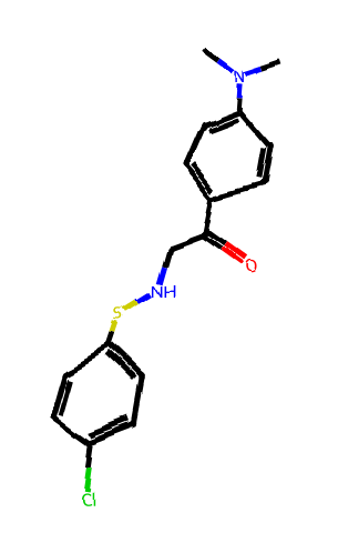 CN(C)c1ccc(C(=O)CNSc2ccc(Cl)cc2)cc1